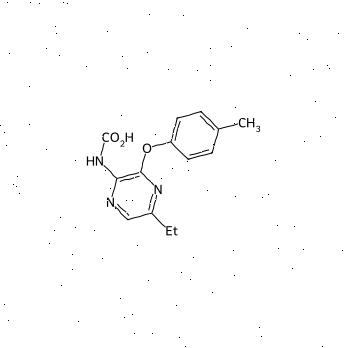 CCc1cnc(NC(=O)O)c(Oc2ccc(C)cc2)n1